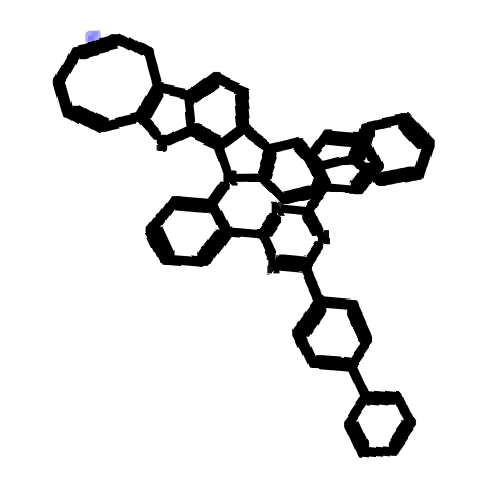 C1=Cc2sc3c(ccc4c5cc(-c6ccccc6)ccc5n(-c5ccccc5-c5nc(-c6ccccc6)nc(-c6ccc(-c7ccccc7)cc6)n5)c43)c2C/C=C\C1